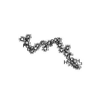 CC(C)(OC(=O)COc1ccc([S+](c2ccccc2)c2cccc(-c3ccc(C4(OC(=O)COc5ccc([S+](c6ccccc6)c6cccc(-c7ccc8cc(C9(OC(=O)COc%10ccc([S+](c%11ccccc%11)c%11ccccc%11)cc%10F)CCCC9)ccc8c7)c6)cc5F)CCCC4)cc3)c2)cc1F)c1ccc2ccccc2c1